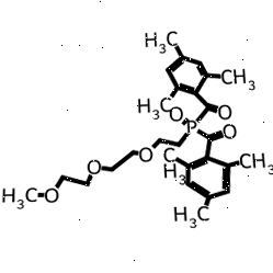 COCCOCCOCCP(=O)(C(=O)c1c(C)cc(C)cc1C)C(=O)c1c(C)cc(C)cc1C